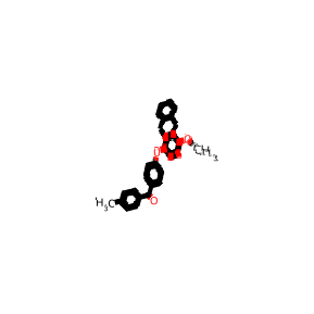 COc1ccc(Oc2ccc(C(=O)c3ccc(C)cc3)cc2)c2c1C1c3ccccc3C2c2ccccc21